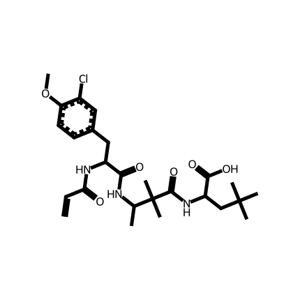 C=CC(=O)NC(Cc1ccc(OC)c(Cl)c1)C(=O)NC(C)C(C)(C)C(=O)NC(CC(C)(C)C)C(=O)O